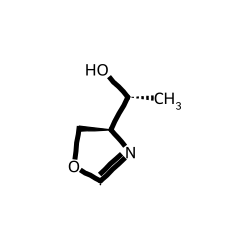 C[C@@H](O)[C@@H]1CO[C]=N1